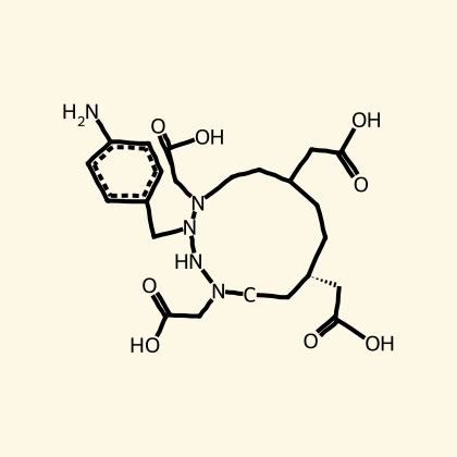 Nc1ccc(CN2NN(CC(=O)O)CC[C@@H](CC(=O)O)CCC(CC(=O)O)CCN2CC(=O)O)cc1